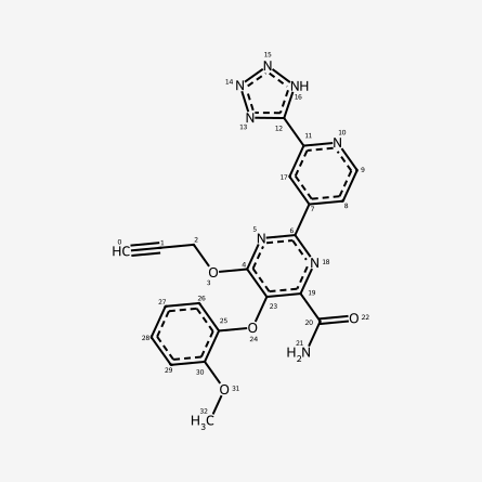 C#CCOc1nc(-c2ccnc(-c3nnn[nH]3)c2)nc(C(N)=O)c1Oc1ccccc1OC